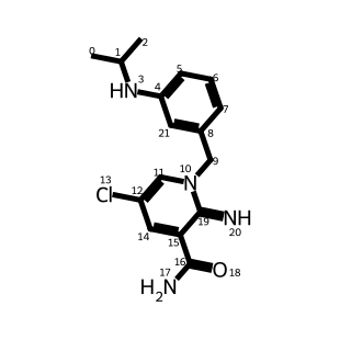 CC(C)Nc1cccc(Cn2cc(Cl)cc(C(N)=O)c2=N)c1